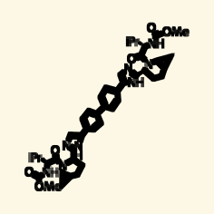 COC(=O)N[C@H](C(=O)N1C(c2ncc(-c3ccc(-c4ccc(-c5cnc([C@@H]6CCC7CC7N6C(=O)[C@@H](NC(=O)OC)C(C)C)[nH]5)cc4)cc3)[nH]2)CCC2CC21)C(C)C